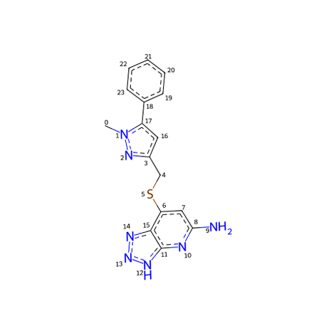 Cn1nc(CSc2cc(N)nc3[nH]nnc23)cc1-c1ccccc1